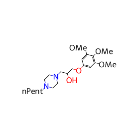 CCCCCN1CCN(CC(O)COc2cc(OC)c(OC)c(OC)c2)CC1